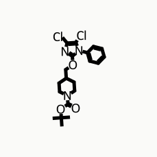 CC(C)(C)OC(=O)N1CCC(COc2nc(Cl)c(Cl)n2-c2ccccc2)CC1